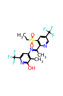 CCS(=O)(=O)c1cc(C(F)(F)F)cnc1/C(C)=N/c1cc(C(F)(F)F)nc(O)c1C